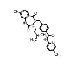 Cc1ccc(NC(=O)c2ccc(CN3C(=O)c4ccc(Cl)cc4NC(=O)[C@H]3CCN(C)C)cc2)nc1